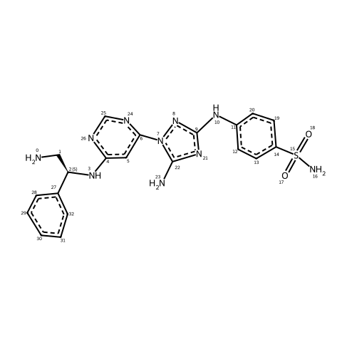 NC[C@@H](Nc1cc(-n2nc(Nc3ccc(S(N)(=O)=O)cc3)nc2N)ncn1)c1ccccc1